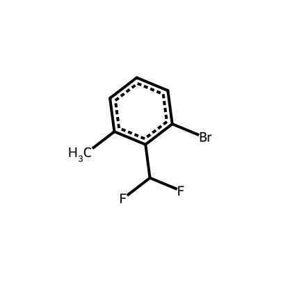 Cc1cccc(Br)c1C(F)F